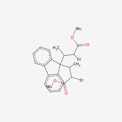 CCC(C(=O)OC(C)(C)C)C(C)C1(C(C)C(CC)C(=O)OC(C)(C)C)c2ccccc2-c2ccccc21